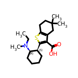 CCN(C)[C@@H]1CCCC[C@@H]1c1sc2c(c1C(=O)O)CC(C)(C)CC2